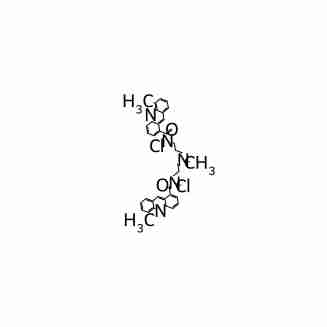 Cc1cccc2cc3c(C(=O)N(Cl)CCCN(C)CCCN(Cl)C(=O)c4cccc5nc6c(C)cccc6cc45)cccc3nc12